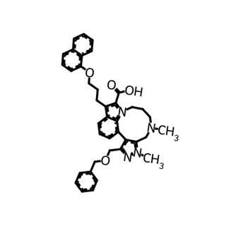 CN1CCCn2c(C(=O)O)c(CCCOc3cccc4ccccc34)c3cccc(c32)-c2c(COCc3ccccc3)nn(C)c2C1